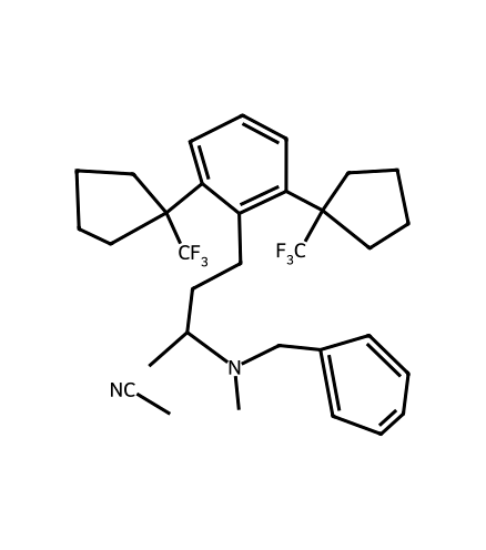 CC#N.CC(CCc1c(C2(C(F)(F)F)CCCC2)cccc1C1(C(F)(F)F)CCCC1)N(C)Cc1ccccc1